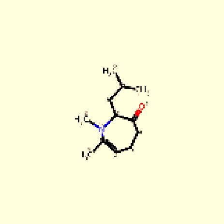 CC1=CCCC(=O)C(CC(C)C)N1C